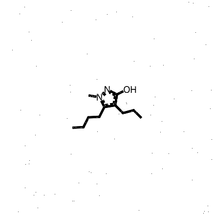 CCCCc1c(CCC)c(O)nn1C